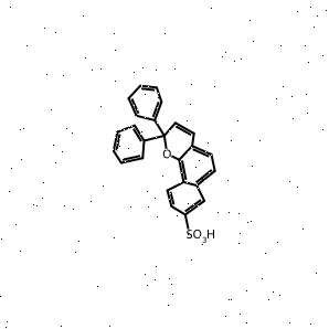 O=S(=O)(O)c1ccc2c3c(ccc2c1)C=CC(c1ccccc1)(c1ccccc1)O3